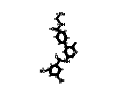 Cc1ncc(NC(=O)c2cc(C#N)cc(C(C)(C)C)c2)cc1-c1ccc(C(=O)NCC(C)(C)C)cc1